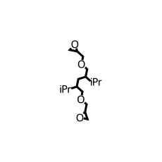 CC(C)C(COCC1CO1)CC(COCC1CO1)C(C)C